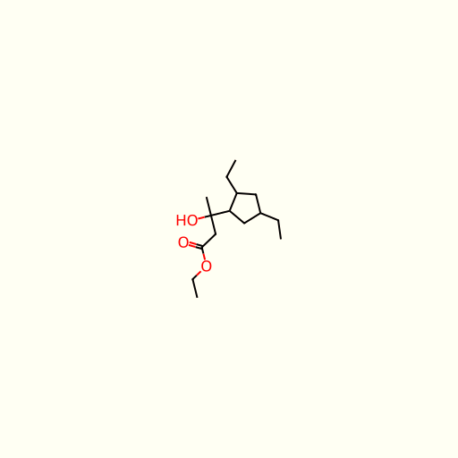 CCOC(=O)CC(C)(O)C1CC(CC)CC1CC